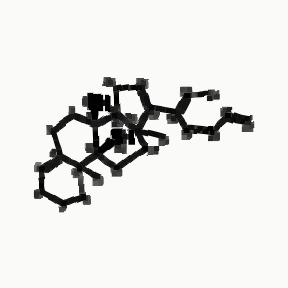 B[C@]12CCC3=CCCCC3(C)[C@@]1(S)CCC1(C)C(C(/C=C\C=C)=C/C)=CCC12